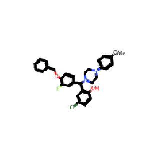 COc1ccc(N2CCN(C(c3ccc(OCc4ccccc4)c(F)c3)c3cc(Cl)ccc3O)CC2)cc1